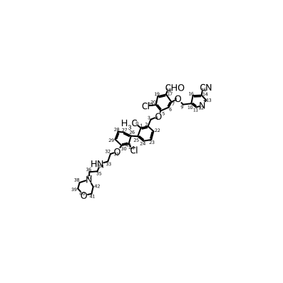 Cc1c(COc2cc(OCc3cncc(C#N)c3)c(C=O)cc2Cl)cccc1-c1cccc(OCCNCCN2CCOCC2)c1Cl